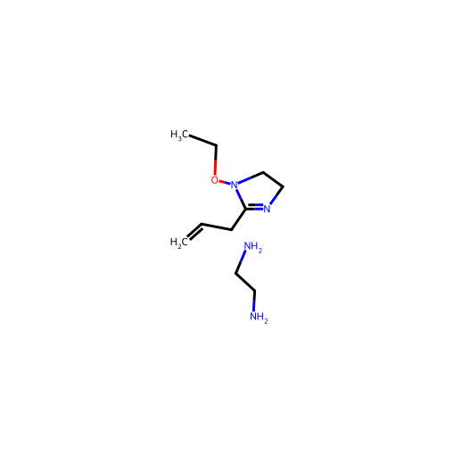 C=CCC1=NCCN1OCC.NCCN